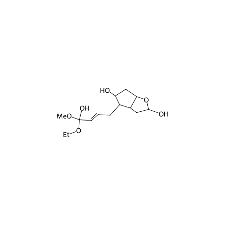 CCOC(O)(C=CCC1C(O)CC2OC(O)CC21)OC